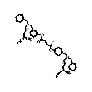 [C-]#[N+]C(=C/C=C/N(Cc1ccccc1)Cc1cccc(OC(=O)CCC(=O)Oc2ccc(CN(/C=C/C=C(C#N)C#N)Cc3ccccc3)cc2)c1)[N+]#[C-]